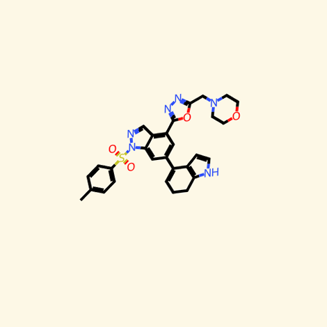 Cc1ccc(S(=O)(=O)n2ncc3c(-c4nnc(CN5CCOCC5)o4)cc(C4=CCCc5[nH]ccc54)cc32)cc1